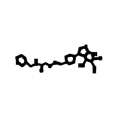 N#Cc1c(O)c2c(-c3ccc(C=NOCC(=O)NCc4cccnc4)cc3)csc2[nH]c1=O